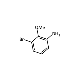 COc1c(N)[c]ccc1Br